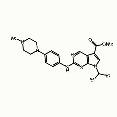 CCC(CC)n1cc(C(=O)OC)c2cnc(Nc3ccc(N4CCN(C(C)=O)CC4)cc3)nc21